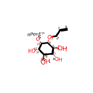 C=CCO[C@@H]1[C@@H](O)[C@H](O)[C@@H](O)[C@H](O)[C@@H]1OCCCCC